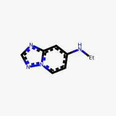 CCNc1ccn2ncnc2c1